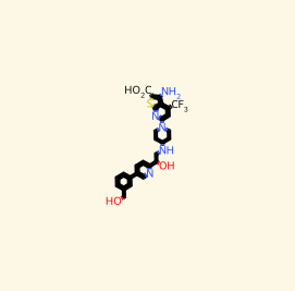 Nc1c(C(=O)O)sc2nc(N3CCC(NCC(O)c4ccc(-c5cccc(CO)c5)cn4)CC3)cc(C(F)(F)F)c12